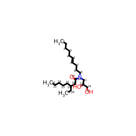 CCCCCC=CCCCN(CC(O)CO)C(=O)CC(CC)CCCCC